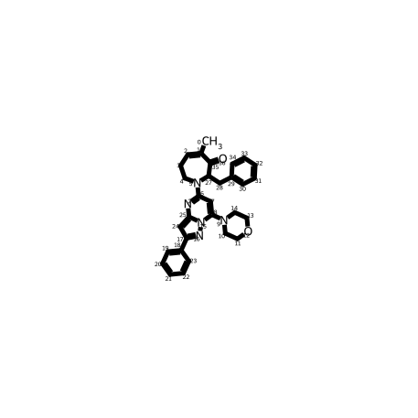 CC1=CCCN(c2cc(N3CCOCC3)n3nc(-c4ccccc4)cc3n2)C(Cc2ccccc2)C1=O